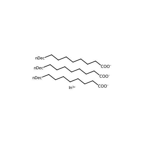 CCCCCCCCCCCCCCCCCC(=O)[O-].CCCCCCCCCCCCCCCCCC(=O)[O-].CCCCCCCCCCCCCCCCCC(=O)[O-].[In+3]